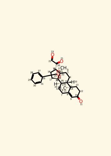 C[C@]12CC[C@H]3[C@@H](CCC4=CC(=O)CC[C@@]43C)[C@]13CC[C@]2(C(=O)C=O)OC(c1ccccc1)O3